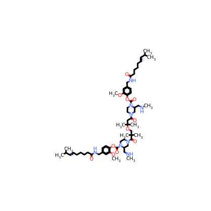 CNCC1CN(C(=O)CC(C)(C)OCC(C)(C)C(=O)N2CCN(C(=O)Oc3ccc(CNC(=O)CCCC/C=C/C(C)C)cc3OC)C(CNC)C2)CCN1C(=O)Oc1ccc(CNC(=O)CCCC/C=C/C(C)C)cc1OC